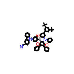 CC(C)(C)c1cc(-c2cc3c4c(c2)N(c2ccccc2)c2c(c5oc6ccccc6c5c5c2oc2ccccc25)B4c2ccc(-n4c5ccccc5c5cc(C#N)ccc54)cc2O3)cc(C(C)(C)C)c1